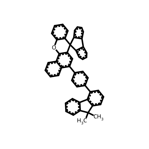 CC1(C)c2ccccc2-c2c(-c3ccc(-c4cc5c(c6ccccc46)Oc4ccccc4C54c5ccccc5-c5ccccc54)cc3)cccc21